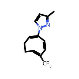 Cc1ccn(C2=C/CC/C=C(C(F)(F)F)/C=C\2)n1